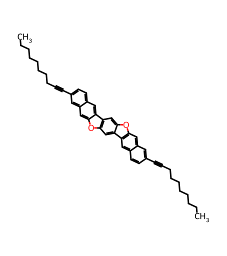 CCCCCCCCC#Cc1ccc2cc3c(cc2c1)oc1cc2c(cc13)oc1cc3cc(C#CCCCCCCCC)ccc3cc12